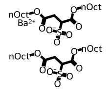 CCCCCCCCOC(=O)CC(C(=O)OCCCCCCCC)S(=O)(=O)[O-].CCCCCCCCOC(=O)CC(C(=O)OCCCCCCCC)S(=O)(=O)[O-].[Ba+2]